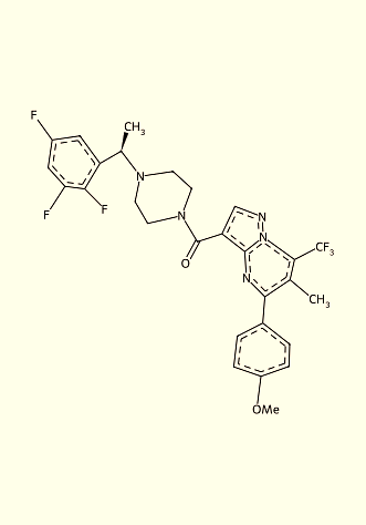 COc1ccc(-c2nc3c(C(=O)N4CCN([C@H](C)c5cc(F)cc(F)c5F)CC4)cnn3c(C(F)(F)F)c2C)cc1